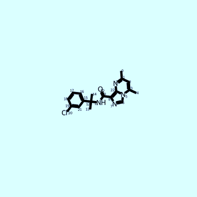 Cc1cc(C)n2cnc(C(=O)NC(C)(C)c3cccc(Cl)c3)c2n1